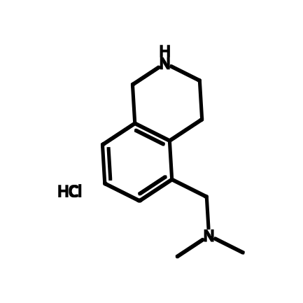 CN(C)Cc1cccc2c1CCNC2.Cl